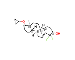 C[C@]12CC[C@H]3[C@@H](CC=C4C(F)(F)[C@@H](O)CC[C@@]43C)[C@@H]1CC[C@@H]2OC1CC1